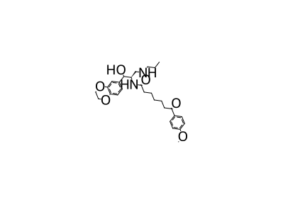 CCCNC[C@@H](NC(=O)CCCCCC(=O)c1ccc(OC)cc1)C(O)c1ccc2c(c1)OCCO2